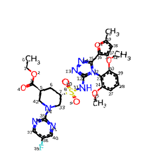 CCOC(=O)[C@H]1C[C@H](S(=O)(=O)Nc2nnc(-c3ccc(C)o3)n2-c2c(OC)cccc2OC)CN(c2ncc(F)cn2)C1